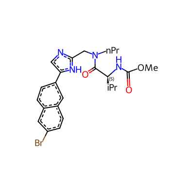 CCCN(Cc1ncc(-c2ccc3cc(Br)ccc3c2)[nH]1)C(=O)[C@@H](NC(=O)OC)C(C)C